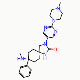 CN[C@]1(c2ccccc2)CC[C@]2(CC1)CN(c1cnc(N3CCN(C)CC3)nc1)C(=O)N2